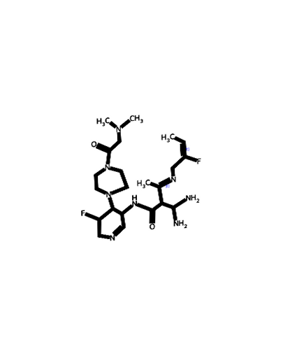 C/C=C(/F)C/N=C(\C)C(C(=O)NC1C=NCC(F)C1N1CCN(C(=O)CN(C)C)CC1)C(N)N